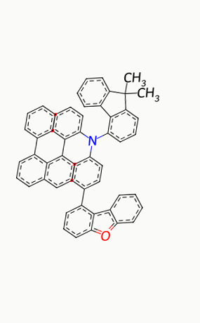 CC1(C)c2ccccc2-c2c(N(c3ccc(-c4cccc5oc6ccccc6c45)cc3)c3ccccc3-c3cccc4cccc(-c5ccccc5)c34)cccc21